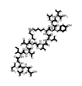 CCC(C)[C@H](NC(=O)[C@@H](CCCN)NC(=O)[C@H](CC(C)C)NC(=O)[C@@H](N)C(C)O)C(=O)N[C@H](C(=O)N[C@H](C(=O)N[C@H](CCCCN)C(=O)N[C@H](C(=O)N[C@H](CC(C)C)C(=O)N[C@@H](CCCCN)C(=O)N[C@H](Cc1ccc(O)cc1)C(=O)N[C@@H](CC(C)C)C(=O)N[C@H](C(N)=O)C(C)C)C(C)C)C(C)C)C(C)C